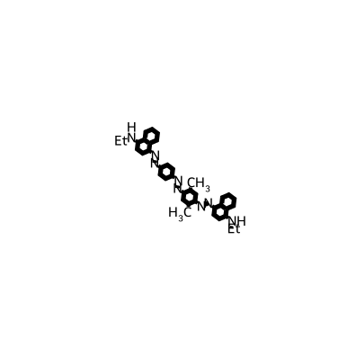 CCNc1ccc(N=Nc2ccc(N=Nc3cc(C)c(N=Nc4ccc(NCC)c5ccccc45)cc3C)cc2)c2ccccc12